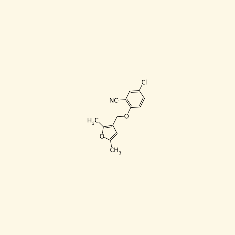 Cc1cc(COc2ccc(Cl)cc2C#N)c(C)o1